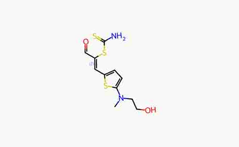 CN(CCO)c1ccc(/C=C(/C=O)SC(N)=S)s1